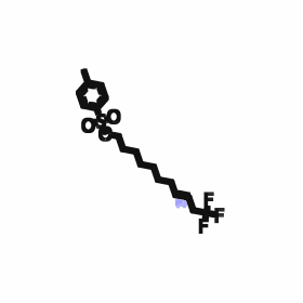 Cc1ccc(S(=O)(=O)OCCCCCCC/C=C/CC(F)(F)F)cc1